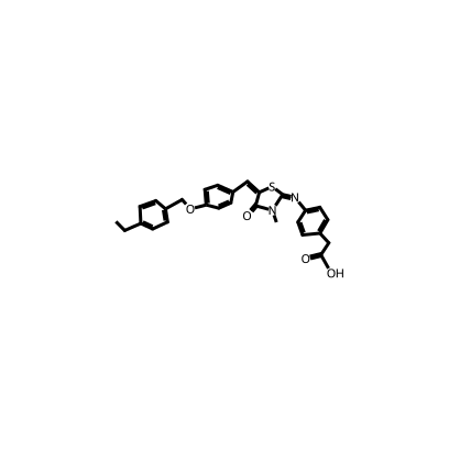 CCc1ccc(COc2ccc(C=C3SC(=Nc4ccc(CC(=O)O)cc4)N(C)C3=O)cc2)cc1